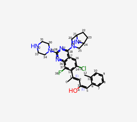 C/C(=C\C(O)=C/c1ccccc1C)c1c(Cl)cc2c(N3CC4CCC(C3)N4)nc(N3CCNCC3)nc2c1F